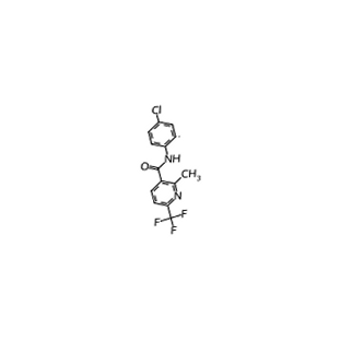 Cc1nc(C(F)(F)F)ccc1C(=O)Nc1[c]cc(Cl)cc1